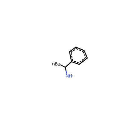 CCCCC([NH])c1ccccc1